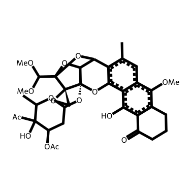 COc1c2c(c(O)c3c4c(c(C)cc13)C1OC3(C(OC)OC)OC1[C@@](OC1CC(OC(C)=O)C(O)(C(C)=O)C(C)O1)(O4)[C@@]31CO1)C(=O)CCC2